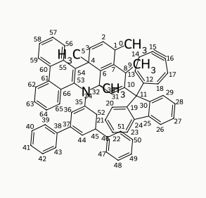 CC1C=CC2(C)C3=C1C(C)C(C1(C4=CCC#CC=C4)c4ccccc4-c4ccccc41)=CC3(C)N(C1=CC(c3ccccc3)=CC(c3ccccc3)C1)c1c2c2ccccc2c2ccccc12